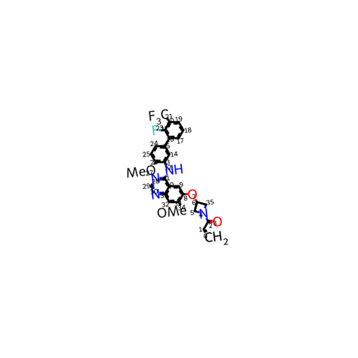 C=CC(=O)N1CC(Oc2cc3c(Nc4cc(-c5cccc(C(F)(F)F)c5F)ccc4OC)ncnc3cc2OC)C1